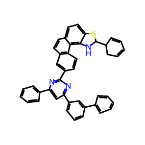 C1=CCC(C2Nc3c(ccc4ccc5cc(-c6nc(-c7ccccc7)cc(-c7cccc(-c8ccccc8)c7)n6)ccc5c34)S2)C=C1